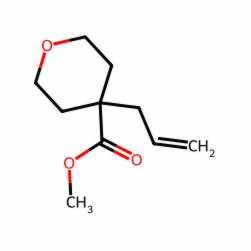 C=CCC1(C(=O)OC)CCOCC1